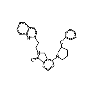 O=C1c2cccc(N3CCCC(Oc4ccccc4)C3)c2CN1CCc1ccc2ccccc2n1